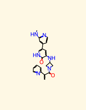 C=C(C(=O)N1CC(Nc2cc(-c3ccnc(NC)c3)c[nH]c2=O)C1)c1ccccn1